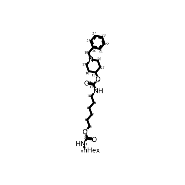 CCCCCCNC(=O)OCCCCCCNC(=O)OC1CCN(Cc2ccccc2)CC1